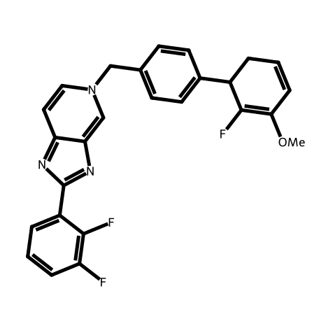 COC1=C(F)C(c2ccc(Cn3ccc4nc(-c5cccc(F)c5F)nc-4c3)cc2)CC=C1